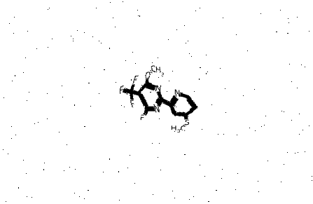 COc1nc(-c2cc(SC)ccn2)nc(F)c1C(F)(F)F